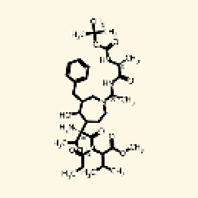 CCC(=O)N(C(=O)[C@@](N)(C(C)C)C1CCN([C@H](C)NC(=O)[C@H](C)NC(=O)OC(C)(C)C)CC(Cc2ccccc2)C1O)C(C(=O)OC)C(C)C